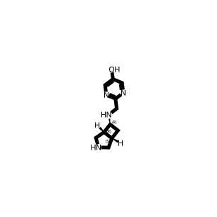 Oc1cnc(CN[C@@H]2C[C@@H]3CNC[C@@H]32)nc1